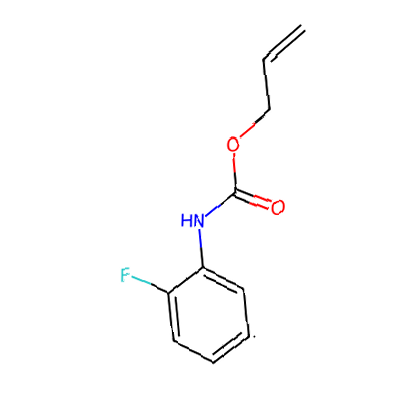 C=CCOC(=O)Nc1c[c]ccc1F